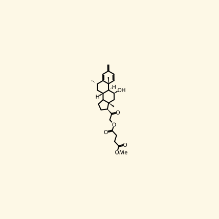 C=C1C=C[C@@]2(C)C(=C1)[C@@H](C)C[C@H]1C3CC[C@H](C(=O)COC(=O)CCC(=O)OC)[C@@]3(C)C[C@H](O)[C@@H]12